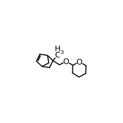 CC1(COC2CCCCO2)CC2C=CC1C2